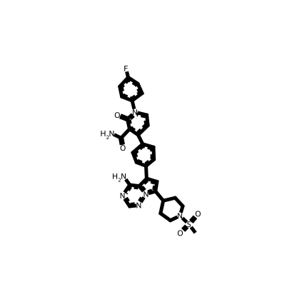 CS(=O)(=O)N1CCC(c2cc(-c3ccc(-c4ccn(-c5ccc(F)cc5)c(=O)c4C(N)=O)cc3)c3c(N)ncnn23)CC1